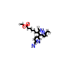 CCOC(=O)CCCCCc1c(C)nn2c(CC)ccc2c1-c1ccc(C#N)nc1